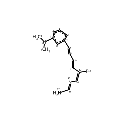 CN(C)c1cccc(/C=C/C=C/C(F)=C\N=C\N)c1